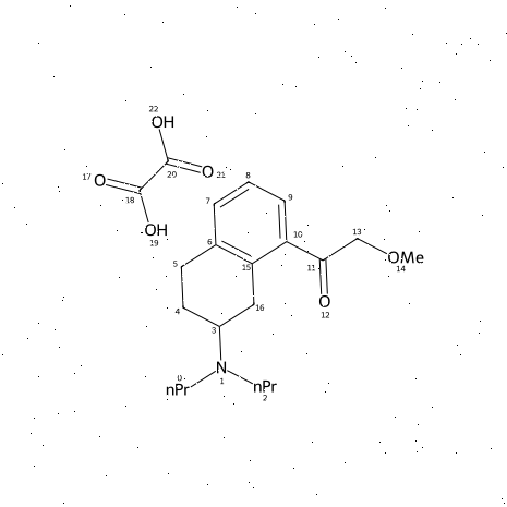 CCCN(CCC)C1CCc2cccc(C(=O)COC)c2C1.O=C(O)C(=O)O